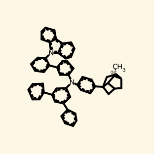 C[C@H]1CC2(c3ccc(N(c4cc(-c5ccccc5)cc(-c5ccccc5)c4)c4cccc(-c5ccccc5-n5c6ccccc6c6ccccc65)c4)cc3)CC3CC1CC32